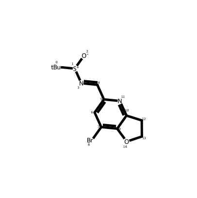 CC(C)(C)[S+]([O-])/N=C/c1cc(Br)c2c(n1)CCO2